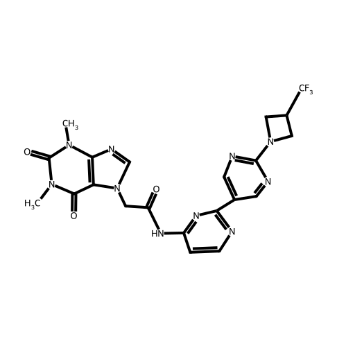 Cn1c(=O)c2c(ncn2CC(=O)Nc2ccnc(-c3cnc(N4CC(C(F)(F)F)C4)nc3)n2)n(C)c1=O